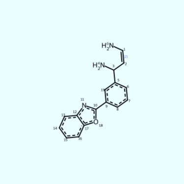 N/C=C\C(N)c1cccc(-c2nc3ccccc3o2)c1